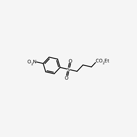 CCOC(=O)CCCS(=O)(=O)c1ccc([N+](=O)[O-])cc1